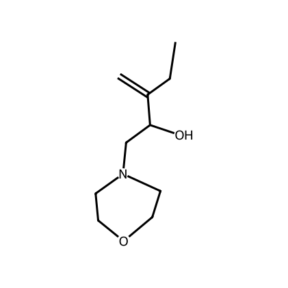 C=C(CC)C(O)CN1CCOCC1